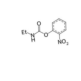 CCNC(=O)Oc1ccccc1[N+](=O)[O-]